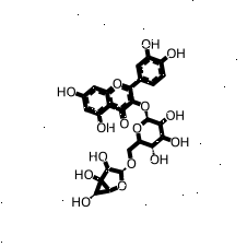 O=c1c(O[C@@H]2OC(CO[C@@H]3OC4[C@H](O)C4(O)C3O)[C@@H](O)C(O)C2O)c(-c2ccc(O)c(O)c2)oc2cc(O)cc(O)c12